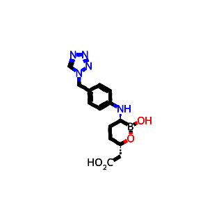 O=C(O)C[C@@H]1CC[C@H](Nc2ccc(Cn3cnnn3)cc2)B(O)O1